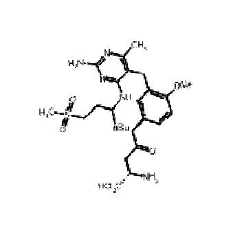 CCCCC(CCS(C)(=O)=O)Nc1nc(N)nc(C)c1Cc1cc(CC(=O)C[C@H](N)C(=O)O)ccc1OC